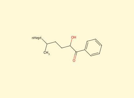 CCCCCCCC(C)CCC(O)C(=O)c1ccccc1